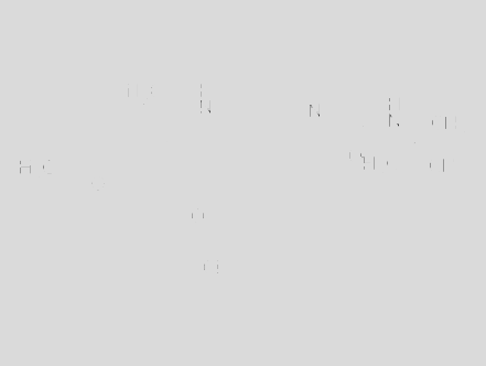 C=C(NCC1CCN(CC(=O)NC(C)(C)C)CC1)c1cc(OCC)cc(OCC)c1